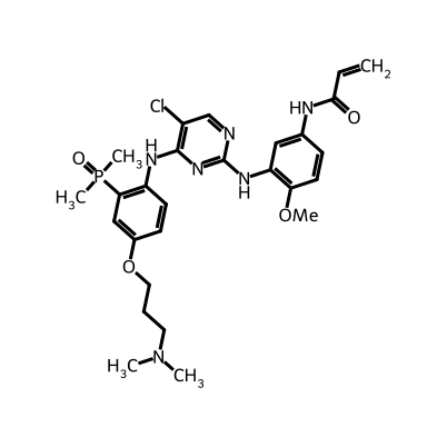 C=CC(=O)Nc1ccc(OC)c(Nc2ncc(Cl)c(Nc3ccc(OCCCN(C)C)cc3P(C)(C)=O)n2)c1